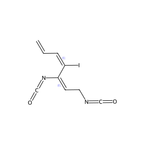 C=C/C=C(I)\C(=C/CN=C=O)N=C=O